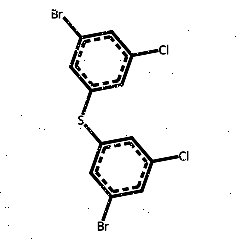 Clc1cc(Br)cc(Sc2cc(Cl)cc(Br)c2)c1